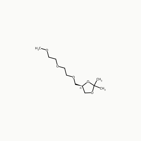 COCCOCCOC[C@@H]1COC(C)(C)O1